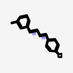 Cc1cccc(/C=C/C=C/c2ccc(Cl)cc2)c1